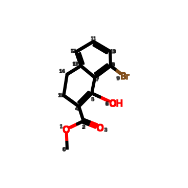 COC(=O)C1=C(O)c2c(Br)cccc2CC1